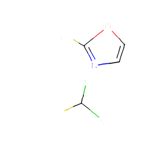 SC(Cl)Cl.Sc1ncco1